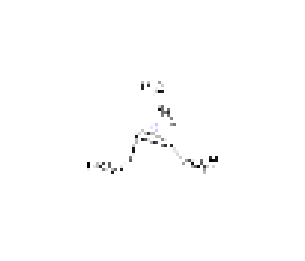 N.O.O=C(O)/C=C\C(=O)O